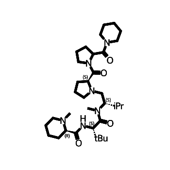 CC(C)[C@@H](CN1CCC[C@H]1C(=O)N1CCCC1C(=O)N1CCCCC1)N(C)C(=O)[C@@H](NC(=O)[C@H]1CCCCN1C)C(C)(C)C